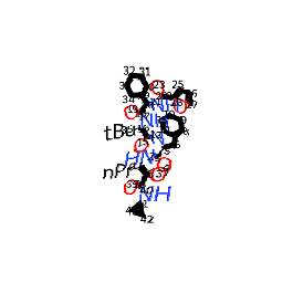 CCC[C@H](NC(=O)[C@@H]1CC2CCCCC2N1C(=O)[C@@H](NC(=O)C(NC(=O)c1ccco1)C1CCCCC1)C(C)(C)C)C(=O)C(=O)NC1CC1